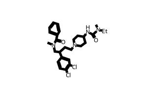 CCN(C)C(=O)NC1CCN(CCC(CN(C)C(=O)c2ccccc2)c2ccc(Cl)c(Cl)c2)CC1